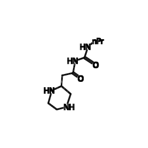 CCCNC(=O)NC(=O)CC1CNCCN1